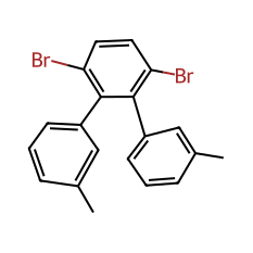 Cc1cccc(-c2c(Br)ccc(Br)c2-c2cccc(C)c2)c1